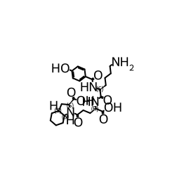 NCCCC[C@H](NC(=O)c1ccc(O)cc1)C(=O)N[C@H](CCC(=O)N1[C@H](C(=O)O)C[C@@H]2CCCC[C@@H]21)C(=O)O